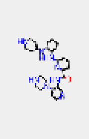 O=C(Nc1cnccc1N1CCNCC1)c1cccc(Nc2ccccc2NC2=CCNCC2)n1